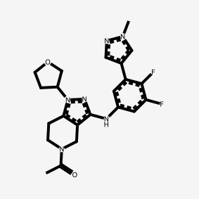 CC(=O)N1CCc2c(c(Nc3cc(F)c(F)c(-c4cnn(C)c4)c3)nn2C2CCOC2)C1